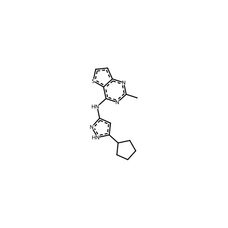 Cc1nc(Nc2cc(C3CCCC3)[nH]n2)c2sccc2n1